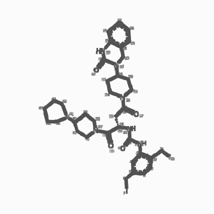 O=C(Nc1cc(CI)ccc1CI)N[C@@H](CC(=O)N1CCC(N2Cc3ccccc3NC2=O)CC1)C(=O)N1CCC(N2CCCCC2)CC1